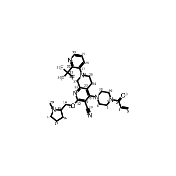 C=CC(=O)N1CCN(c2c(C#N)c(OCC3CCCN3C)nc3c2CCN(c2cccnc2C(F)(F)F)C3)CC1